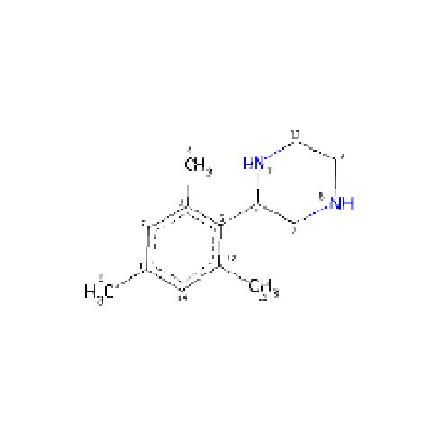 Cc1cc(C)c(C2CNCCN2)c(C)c1